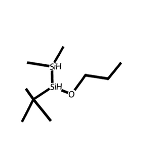 CCCO[SiH]([SiH](C)C)C(C)(C)C